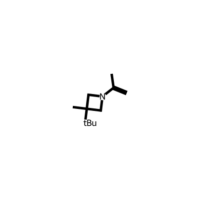 C=C(C)N1CC(C)(C(C)(C)C)C1